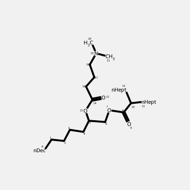 CCCCCCCCCCCCCCC(COC(=O)C(CCCCCCC)CCCCCCC)OC(=O)CCCN(C)C